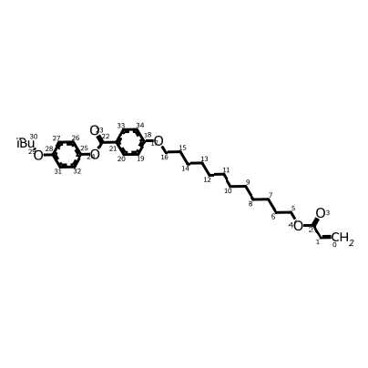 C=CC(=O)OCCCCCCCCCCCCOc1ccc(C(=O)Oc2ccc(OC(C)CC)cc2)cc1